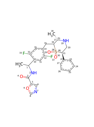 CC(NC(=O)c1cnco1)c1cc(F)c(CC2[C@H](C)NC[C@@H](c3ccccc3)S2(=O)=O)cc1F